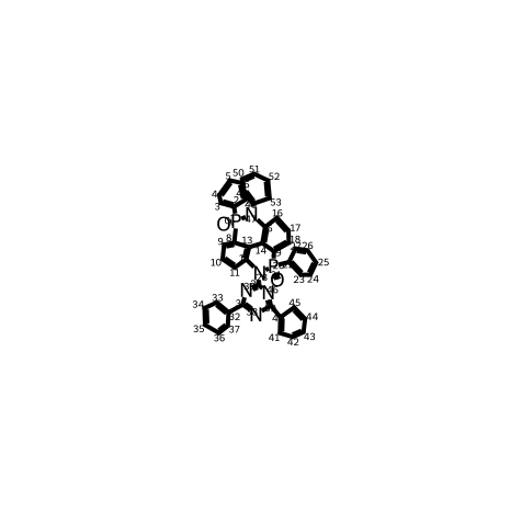 O=P1(c2ccccc2)c2cccc3c2-c2c(cccc2P(=O)(c2ccccc2)N3c2nc(-c3ccccc3)nc(-c3ccccc3)n2)N1c1ccccc1